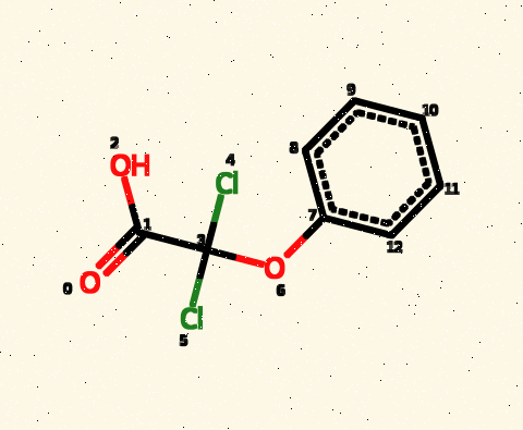 O=C(O)C(Cl)(Cl)Oc1ccccc1